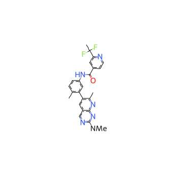 CNc1ncc2cc(-c3cc(NC(=O)c4ccnc(C(C)(F)F)c4)ccc3C)c(C)nc2n1